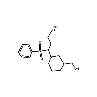 CC(C)CCC(N1CCCC(CO)C1)S(=O)(=O)c1ccccc1.Cl